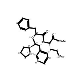 COC(=O)[C@H](CCSC)NC(=O)C(Cc1ccccc1)OC(Cc1cccnc1)[C@@H]1CCCN1